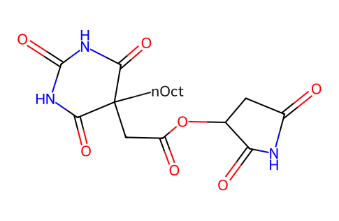 CCCCCCCCC1(CC(=O)OC2CC(=O)NC2=O)C(=O)NC(=O)NC1=O